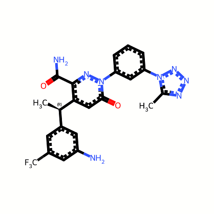 Cc1nnnn1-c1cccc(-n2nc(C(N)=O)c([C@H](C)c3cc(N)cc(C(F)(F)F)c3)cc2=O)c1